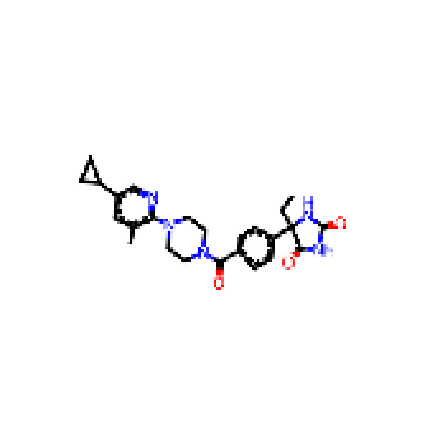 CCC1(c2ccc(C(=O)N3CCN(c4ncc(C5CC5)cc4C)CC3)cc2)NC(=O)NC1=O